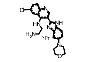 CC(C)[C@H](N)CNc1c(-c2nc3cc(N4CCOCC4)ccc3[nH]2)cnc2ccc(Cl)cc12